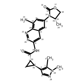 Cc1c([C@H]2C[C@@H]2C(=O)Nc2cc3cc(N4C(=O)OC[C@@H]4C)cc(N)c3nn2)cnn1C